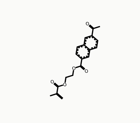 C=C(C)C(=O)OCCOC(=O)c1ccc2cc(C(C)=O)ccc2c1